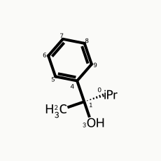 CC(C)[C@@](C)(O)c1ccccc1